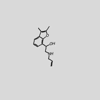 C=CCNCC(O)c1cccc2c(C)c(C)oc12